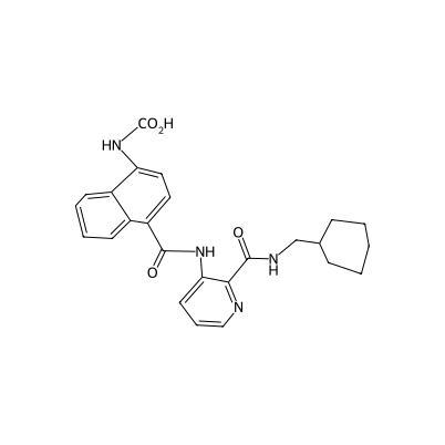 O=C(O)Nc1ccc(C(=O)Nc2cccnc2C(=O)NCC2CCCCC2)c2ccccc12